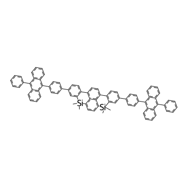 C[Si]1(C)c2cc(-c3ccc(-c4c5ccccc5c(-c5ccccc5)c5ccccc45)cc3)ccc2-c2ccc3c4c(ccc1c24)[Si](C)(C)c1cc(-c2ccc(-c4c5ccccc5c(-c5ccccc5)c5ccccc45)cc2)ccc1-3